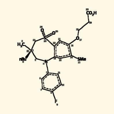 CCCC[C@]1(C)CN(c2ccc(F)cc2)c2cc(SC)c(OCCC(=O)O)cc2S(=O)(=O)C1